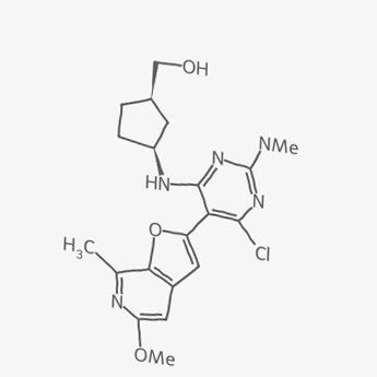 CNc1nc(Cl)c(-c2cc3cc(OC)nc(C)c3o2)c(N[C@H]2CC[C@@H](CO)C2)n1